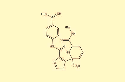 CC(C)(C)NC(=O)C1=CC=CC(C(=O)O)(c2sccc2C(=O)Nc2ccc(C(=N)N)cc2)N1